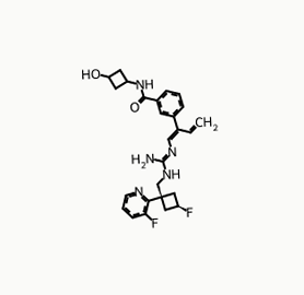 C=C/C(=C\N=C(/N)NC[C@]1(c2ncccc2F)C[C@H](F)C1)c1cccc(C(=O)NC2CC(O)C2)c1